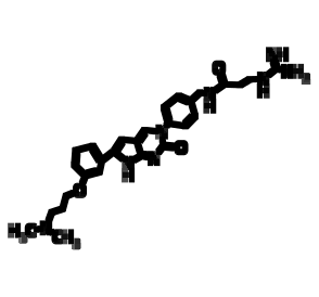 CN(C)CCCOc1cccc(-c2cc3cn(-c4ccc(CNC(=O)CCNC(=N)N)cc4)c(=O)nc3[nH]2)c1